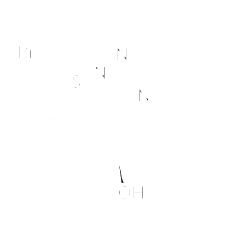 O[C@H]1C[C@@](c2ccc(Br)s2)(c2nnc(C3CCC3)n2C2CC2)C1